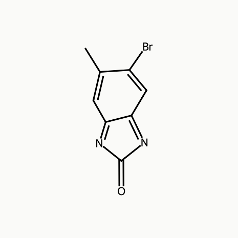 Cc1cc2c(cc1Br)=NC(=O)N=2